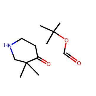 CC(C)(C)OC=O.CC1(C)CNCCC1=O